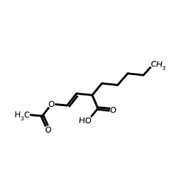 CCCCCC(C=COC(C)=O)C(=O)O